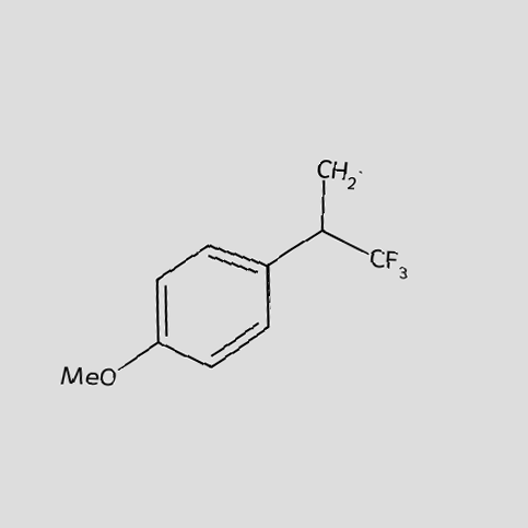 [CH2]C(c1ccc(OC)cc1)C(F)(F)F